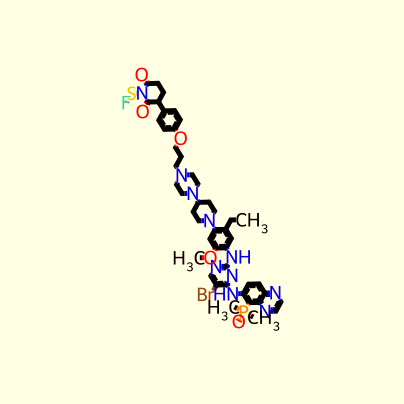 CCc1cc(Nc2ncc(Br)c(Nc3ccc4nccnc4c3P(C)(C)=O)n2)c(OC)cc1N1CCC(N2CCN(CCCOc3ccc(C4CCC(=O)N(SF)C4=O)cc3)CC2)CC1